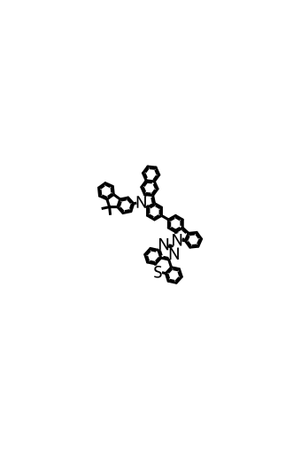 CC1(C)c2ccccc2-c2cc(-n3c4ccc(-c5ccc6c7ccccc7n(-c7nc8c9c(cccc9n7)Sc7ccccc7-8)c6c5)cc4c4cc5ccccc5cc43)ccc21